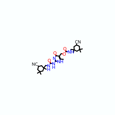 Cc1[nH]c(NC(=O)NCC2(C)CC(C#N)CC(C)(C)C2)nc(=O)c1COC(=O)NCC1(C)CC(C#N)CC(C)(C)C1